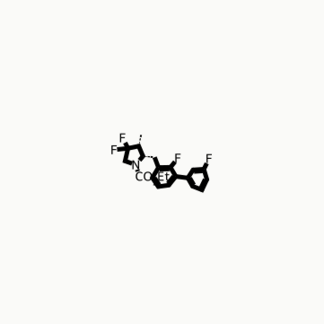 CCOC(=O)N1CC(F)(F)[C@H](C)[C@@H]1Cc1cccc(-c2cccc(F)c2)c1F